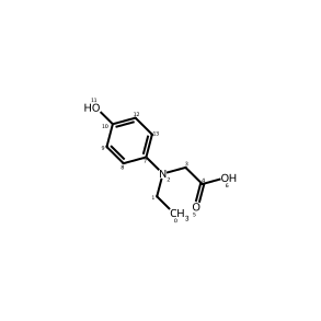 CCN(CC(=O)O)c1ccc(O)cc1